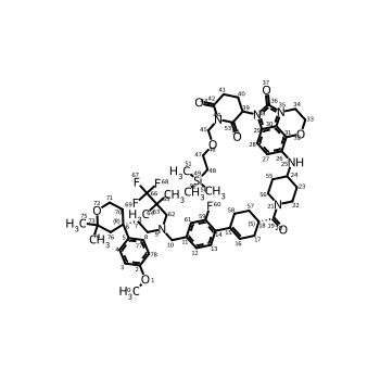 COc1ccc([C@]2(CCN(Cc3ccc(C4=CC[C@@H](C(=O)N5CCC(Nc6ccc7c8c6OCCn8c(=O)n7C6CCC(=O)N(COCC[Si](C)(C)C)C6=O)CC5)CC4)c(F)c3)CC(C)(C)C(F)(F)F)CCOC(C)(C)C2)cc1